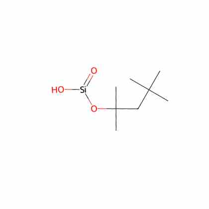 CC(C)(C)CC(C)(C)O[Si](=O)O